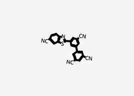 N#Cc1cc(C#N)cc(-c2cc(C#N)cc(-c3nc4ccc(C#N)cc4s3)c2)c1